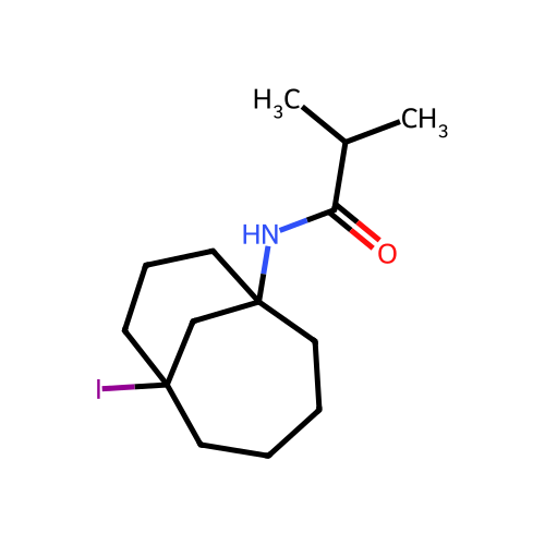 CC(C)C(=O)NC12CCCCC(I)(CCC1)C2